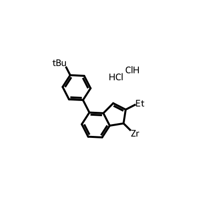 CCC1=Cc2c(-c3ccc(C(C)(C)C)cc3)cccc2[CH]1[Zr].Cl.Cl